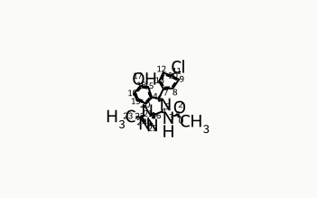 CC(=O)N[C@@H]1N=C(c2ccc(Cl)cc2)c2cc(O)ccc2-n2c(C)nnc21